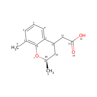 Cc1cccc2c1O[C@H](C)CC2CC(=O)O